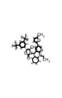 CCN(c1ncc(-c2ccc(C)o2)cc1CN1C(=O)O[C@H](c2cc(C(F)(F)F)cc(C(F)(F)F)c2)[C@@H]1C)C1CCCCC1